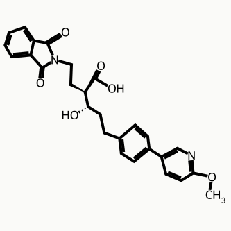 COc1ccc(-c2ccc(CC[C@H](O)[C@@H](CCN3C(=O)c4ccccc4C3=O)C(=O)O)cc2)cn1